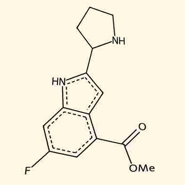 COC(=O)c1cc(F)cc2[nH]c(C3CCCN3)cc12